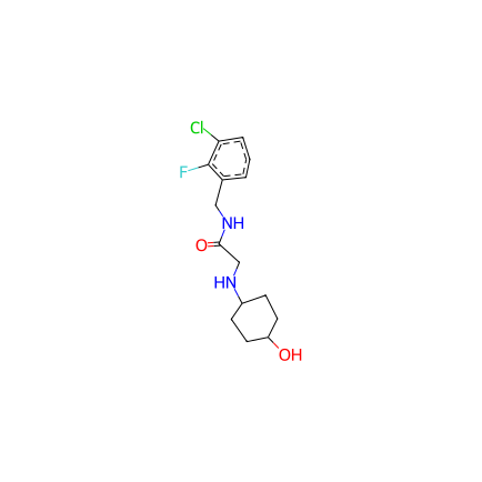 O=C(CNC1CCC(O)CC1)NCc1cccc(Cl)c1F